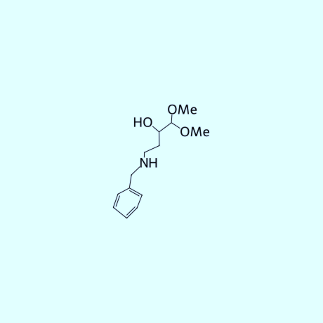 COC(OC)C(O)CCNCc1ccccc1